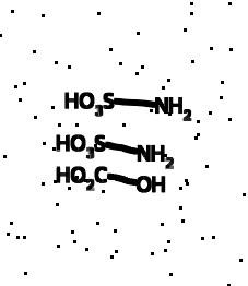 NS(=O)(=O)O.NS(=O)(=O)O.O=C(O)O